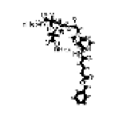 CCCCCCOC(=O)C(C)(C)NP(=O)(CO[C@H](C)Cn1cnc2c(NC(=O)CCCC(=O)OCc3ccccc3)ncnc21)NC(C)(C)C(=O)OCCCCCC